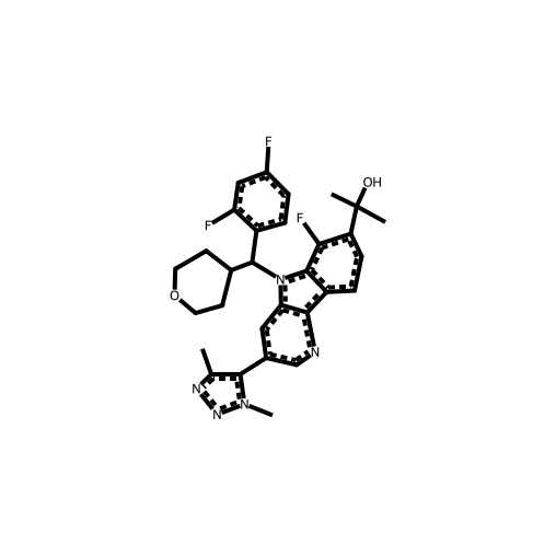 Cc1nnn(C)c1-c1cnc2c3ccc(C(C)(C)O)c(F)c3n(C(c3ccc(F)cc3F)C3CCOCC3)c2c1